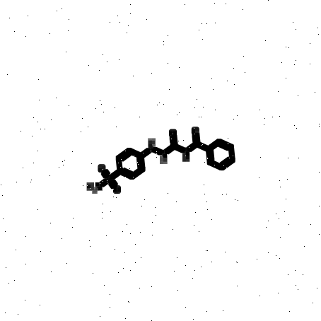 NS(=O)(=O)c1ccc(NNC(=O)NC(=O)c2ccccc2)cc1